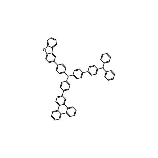 c1ccc(N(c2ccccc2)c2ccc(-c3ccc(N(c4ccc(-c5ccc6oc7ccccc7c6c5)cc4)c4ccc(-c5ccc6c7ccccc7c7ccccc7c6c5)cc4)cc3)cc2)cc1